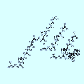 CC(C)=CCC/C(C)=C/CNC/C=C(\C)CCC=C(C)C.CC(C)=CCC/C(C)=C/CNC/C=C(\C)CCC=C(C)C.CC(C)=CCC/C(C)=C/CNC/C=C(\C)CCC=C(C)C.CC(C)=CCC/C(C)=C/CNC/C=C(\C)CCC=C(C)C.O=P(O)(O)OP(=O)(O)O